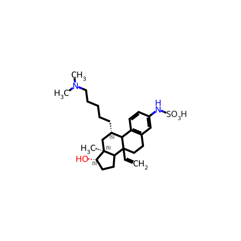 C=CC12CCc3cc(NS(=O)(=O)O)ccc3C1[C@@H](CCCCCN(C)C)C[C@@]1(C)C2CC[C@@H]1O